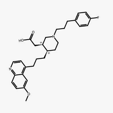 COc1ccc2nccc(CCC[C@@H]3CCN(CCCc4ccc(F)cc4)C[C@@H]3CC(=O)O)c2c1